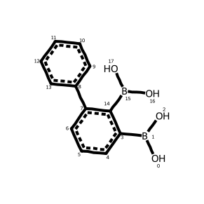 OB(O)c1cccc(-c2ccccc2)c1B(O)O